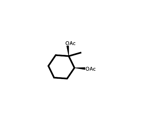 CC(=O)O[C@H]1CCCC[C@@]1(C)OC(C)=O